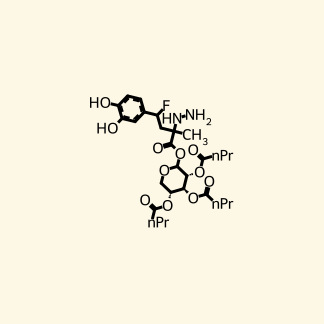 CCCC(=O)O[C@H]1[C@H](OC(=O)CCC)COC(OC(=O)C(C)(CC(F)c2ccc(O)c(O)c2)NN)[C@@H]1OC(=O)CCC